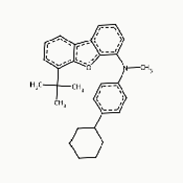 CN(c1ccc(C2CCCCC2)cc1)c1cccc2c1oc1c(C(C)(C)C)cccc12